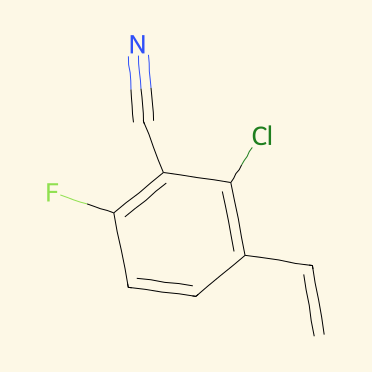 C=Cc1ccc(F)c(C#N)c1Cl